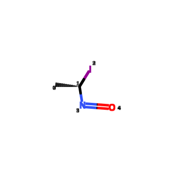 C[C@H](I)N=O